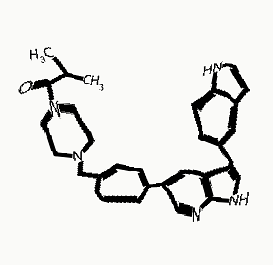 CC(C)C(=O)N1CCN(Cc2ccc(-c3cnc4[nH]cc(-c5ccc6[nH]ccc6c5)c4c3)cc2)CC1